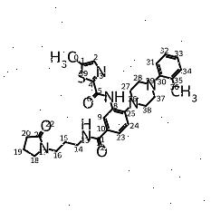 Cc1cnc(C(=O)Nc2cc(C(=O)NCCCN3CCCC3=O)ccc2N2CCN(c3ccccc3C)CC2)s1